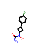 NC(=O)N(O)C1CC(c2ccc(Br)cc2)C1